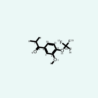 COc1cc(C(=O)C(C)C)ccc1OC(F)(F)F